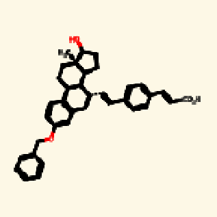 C[C@]12CCC3c4ccc(OCc5ccccc5)cc4C[C@@H](C=Cc4ccc(C=CC(=O)O)cc4)C3C1CC[C@@H]2O